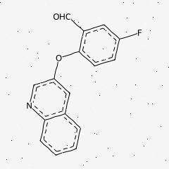 O=Cc1cc(F)ccc1Oc1cnc2ccccc2c1